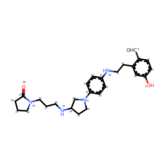 O=Cc1ccc(O)cc1CCNc1ccc(N2CCC(NCCCN3CCCC3=O)C2)cc1